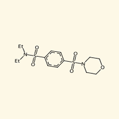 CCN(CC)S(=O)(=O)c1ccc(S(=O)(=O)N2CCOCC2)cc1